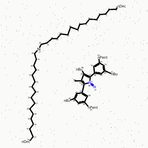 CCCCCCCCCCCCCCCCCCCCCCCCC[CH2][Ni][CH2]CCCCCCCCCCCCCCCCCCCCCCCCC.CCCCCc1cc(CCCC)cc(C2=C(C)C(CCCC)=C(c3cc(CCCC)cc(CCCCC)c3)[N+]2=[N-])c1